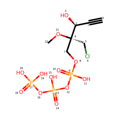 C#C[C@H](O)[C@@](CCl)(COP(=O)(O)OP(=O)(O)OP(=O)(O)O)OC